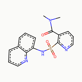 CN(C)C(=O)c1cccnc1S(=O)(=O)Nc1cccc2cccnc12